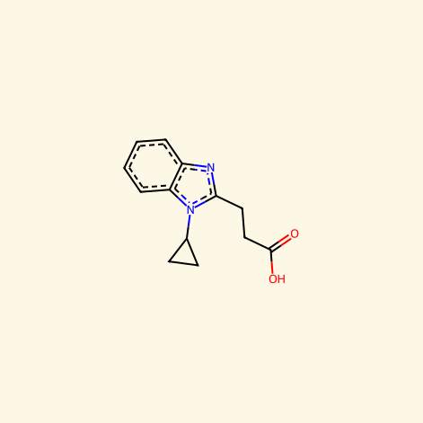 O=C(O)CCc1nc2ccccc2n1C1CC1